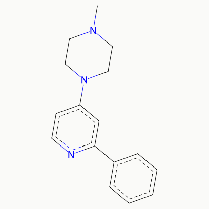 CN1CCN(c2ccnc(-c3ccccc3)c2)CC1